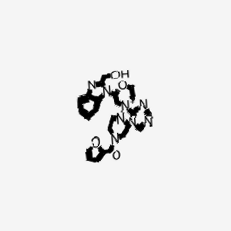 O=C(c1ccco1)N1CCN([N+]2(c3ncncn3)CCOC(n3c(CO)nc4ccccc43)C2)CC1